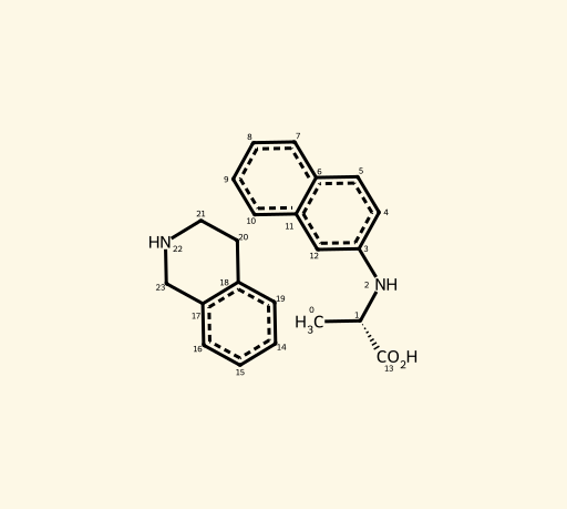 C[C@H](Nc1ccc2ccccc2c1)C(=O)O.c1ccc2c(c1)CCNC2